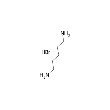 Br.NCCCCCN